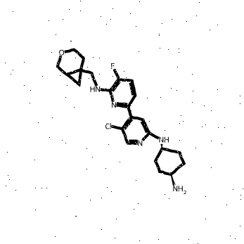 N[C@H]1CC[C@H](Nc2cc(-c3ccc(F)c(NCC45CCOCC4C5)n3)c(Cl)cn2)CC1